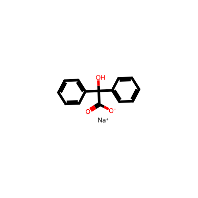 O=C([O-])C(O)(c1ccccc1)c1ccccc1.[Na+]